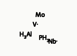 P.[AlH3].[Mo].[Nb].[V]